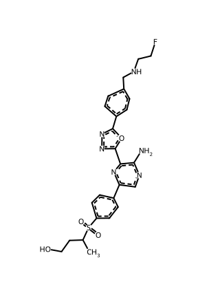 CC(CCO)S(=O)(=O)c1ccc(-c2cnc(N)c(-c3nnc(-c4ccc(CNCCF)cc4)o3)n2)cc1